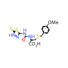 COc1ccc(CSC[C@H](NC(=O)Nc2n[nH]c(=S)s2)C(=O)O)cc1